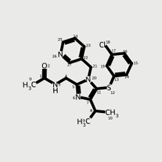 CC(=O)NCc1nc(C(C)C)c(Sc2cccc(Cl)c2)n1Cc1cccnc1